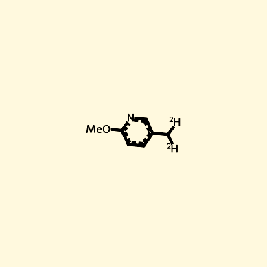 [2H]C([2H])c1ccc(OC)nc1